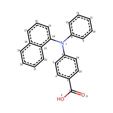 O=C(O)c1ccc(N(c2ccccc2)c2cccc3ccccc23)cc1